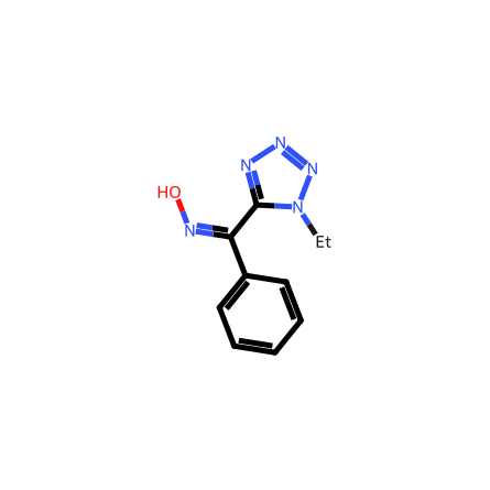 CCn1nnnc1C(=NO)c1ccccc1